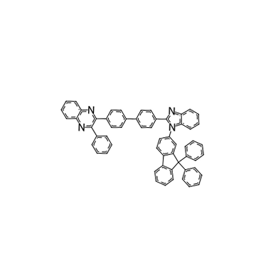 c1ccc(-c2nc3ccccc3nc2-c2ccc(-c3ccc(-c4nc5ccccc5n4-c4ccc5c(c4)C(c4ccccc4)(c4ccccc4)c4ccccc4-5)cc3)cc2)cc1